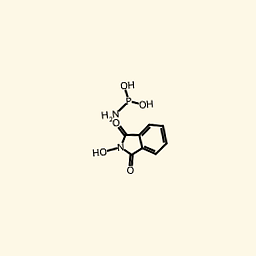 NP(O)O.O=C1c2ccccc2C(=O)N1O